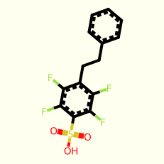 O=S(=O)(O)c1c(F)c(F)c(CCc2ccccc2)c(F)c1F